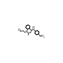 CC1CC(Nc2ccc(N)cc2)c2ccccc2N1CCC=O